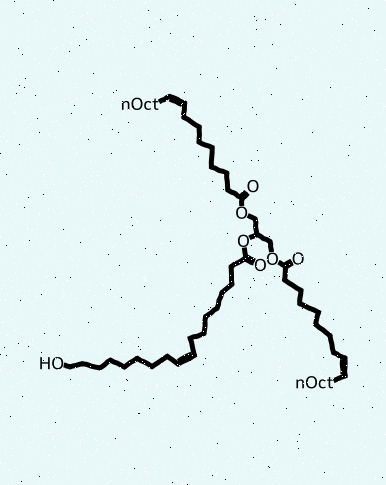 CCCCCCCC/C=C\CCCCCCCC(=O)OCC(COC(=O)CCCCCCC/C=C\CCCCCCCC)OC(=O)CCCCCCC/C=C\CCCCCCCCO